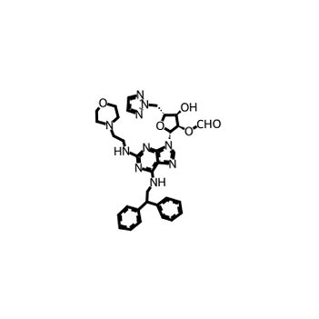 O=CO[C@@H]1[C@H](O)[C@@H](Cn2nccn2)O[C@H]1n1cnc2c(NCC(c3ccccc3)c3ccccc3)nc(NCCN3CCOCC3)nc21